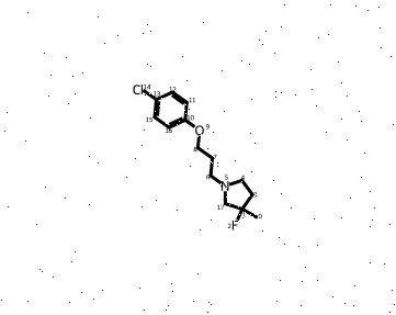 CC1(F)CCN(CCCOc2ccc(Cl)cc2)C1